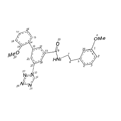 COc1cccc(CCNC(=O)c2cc(-c3ccccc3OC)cc(-n3cnnn3)c2)c1